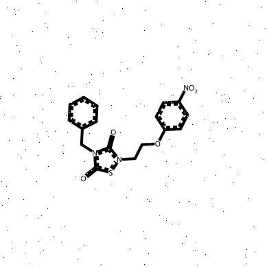 O=c1sn(CCOc2ccc([N+](=O)[O-])cc2)c(=O)n1Cc1ccccc1